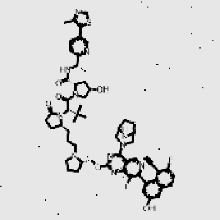 C#Cc1c(F)ccc2cc(O)cc(-c3ncc4c(N5CC6CCC(C5)N6)nc(OC[C@@H]5CCCN5CCC[C@H]5CCC(=O)N5[C@H](C(=O)N5C[C@H](O)C[C@H]5C(=O)N[C@@H](C)c5ccc(-c6scnc6C)cn5)C(C)(C)C)nc4c3F)c12